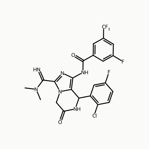 CN(C)C(=N)c1nc(NC(=O)c2cc(F)cc(C(F)(F)F)c2)c2n1CC(=O)NC2c1cc(F)ccc1Cl